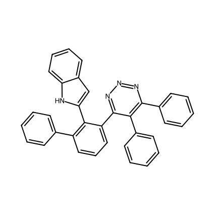 c1ccc(-c2cccc(-c3nnnc(-c4ccccc4)c3-c3ccccc3)c2-c2cc3ccccc3[nH]2)cc1